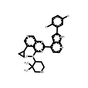 CN(c1nc(-c2ccnc3[nH]c(-c4cc(Cl)ccc4Cl)cc23)nc2cncc(C3CC3)c12)C1CCNCC1(C)C